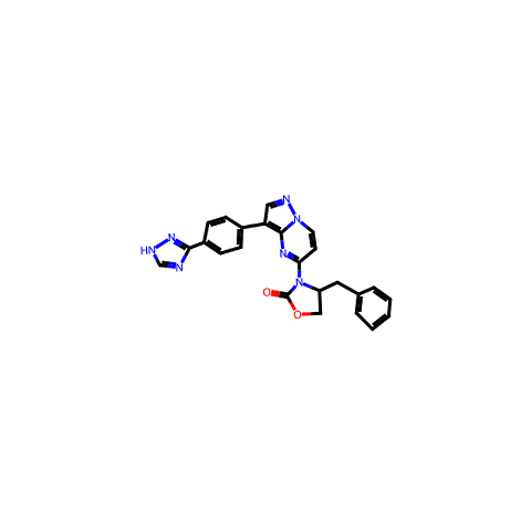 O=C1OCC(Cc2ccccc2)N1c1ccn2ncc(-c3ccc(-c4nc[nH]n4)cc3)c2n1